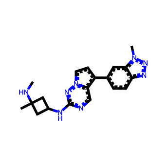 CNC1(C)CC(Nc2ncc3c(-c4ccc5nnn(C)c5c4)ccn3n2)C1